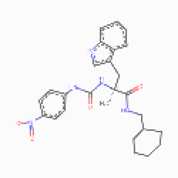 C[C@@](Cc1c[nH]c2ccccc12)(NC(=O)Nc1ccc([N+](=O)[O-])cc1)C(=O)NCC1CCCCC1